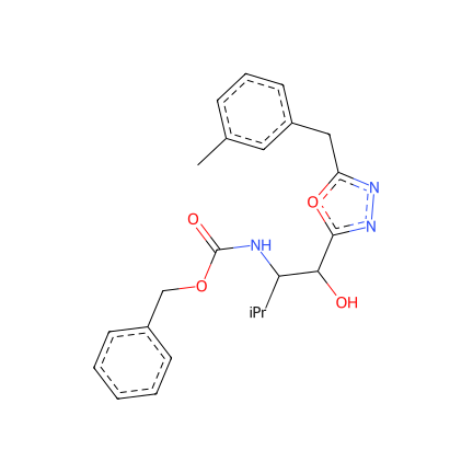 Cc1cccc(Cc2nnc(C(O)C(NC(=O)OCc3ccccc3)C(C)C)o2)c1